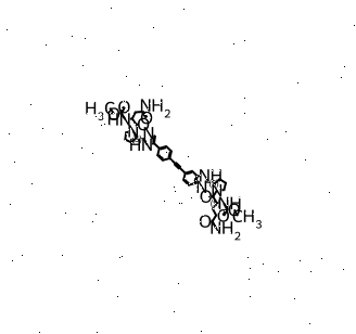 COC(=O)NC(CC(N)=O)C(=O)N1CCC[C@H]1c1ncc(-c2ccc(C#Cc3ccc4nc([C@@H]5CCCN5C(=O)[C@H](CCC(N)=O)NC(=O)OC)[nH]c4c3)cc2)[nH]1